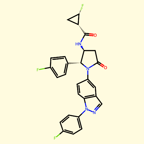 O=C(N[C@H]1CC(=O)N(c2ccc3c(cnn3-c3ccc(F)cc3)c2)[C@@H]1c1ccc(F)cc1)[C@@H]1C[C@@H]1F